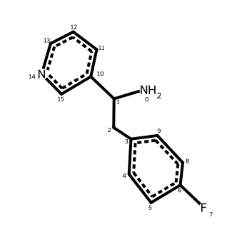 NC(Cc1ccc(F)cc1)c1cccnc1